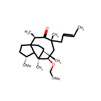 C/C=C/C[C@]1(C)C[C@@H](OCOC)[C@@]2(C)C3[C@H](OC)CCC3(CC[C@H]2C)[C@@H](C)C1=O